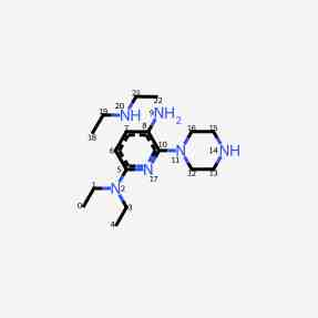 CCN(CC)c1ccc(N)c(N2CCNCC2)n1.CCNCC